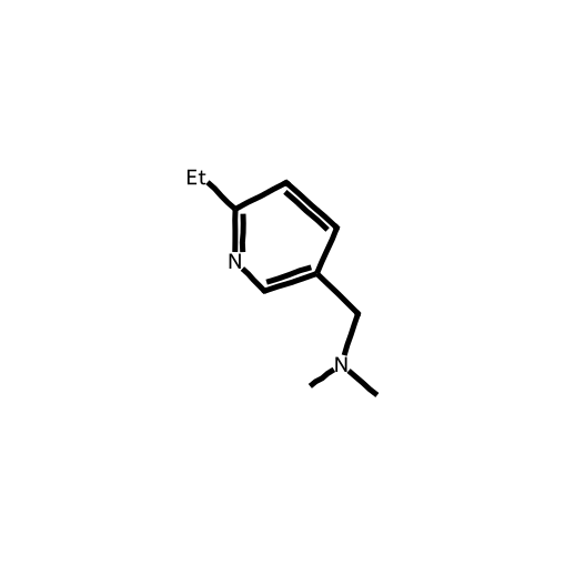 CCc1ccc(CN(C)C)cn1